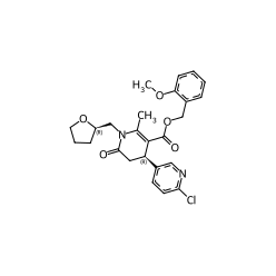 COc1ccccc1COC(=O)C1=C(C)N(C[C@H]2CCCO2)C(=O)C[C@@H]1c1ccc(Cl)nc1